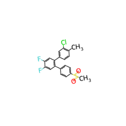 Cc1ccc(-c2cc(F)c(F)cc2-c2ccc(S(C)(=O)=O)cc2)cc1Cl